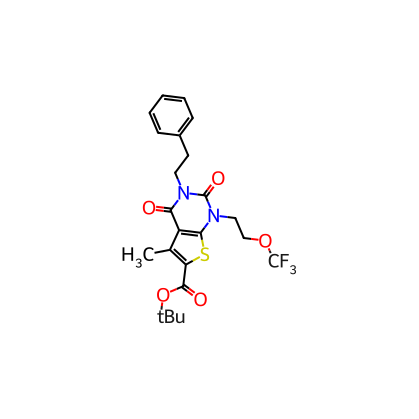 Cc1c(C(=O)OC(C)(C)C)sc2c1c(=O)n(CCc1ccccc1)c(=O)n2CCOC(F)(F)F